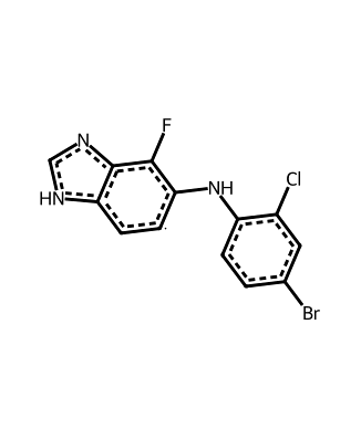 Fc1c(Nc2ccc(Br)cc2Cl)[c]cc2[nH]cnc12